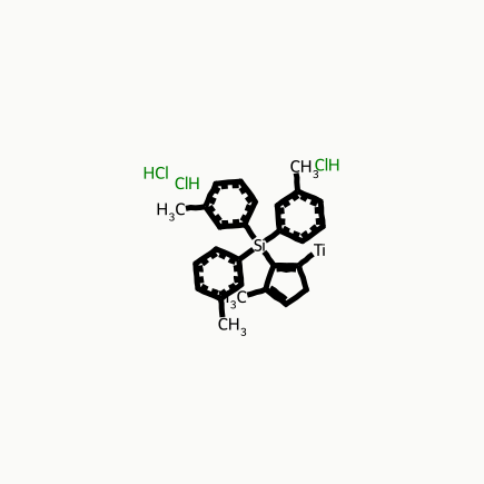 CC1=CC[C]([Ti])=C1[Si](c1cccc(C)c1)(c1cccc(C)c1)c1cccc(C)c1.Cl.Cl.Cl